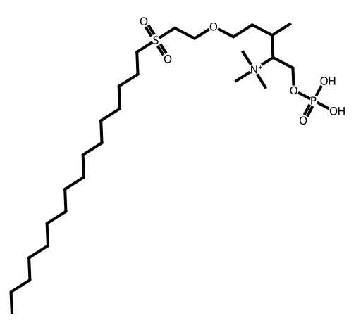 CCCCCCCCCCCCCCCCS(=O)(=O)CCOCCC(C)C(COP(=O)(O)O)[N+](C)(C)C